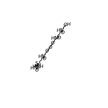 O=C(CCCC[C@@H]1SC[C@@H]2NC(=O)N[C@@H]21)NCCCOCCOCCOCCCNC(=O)CCCC(=O)NCCCO